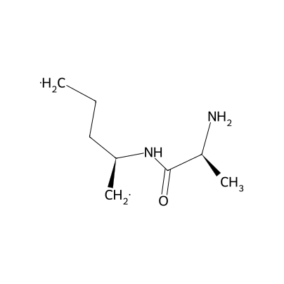 [CH2]CC[C@H]([CH2])NC(=O)[C@H](C)N